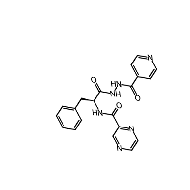 O=C(NNC(=O)[C@H](Cc1ccccc1)NC(=O)c1cnccn1)c1ccncc1